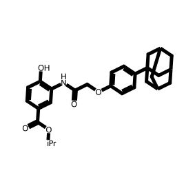 CC(C)OC(=O)c1ccc(O)c(NC(=O)COc2ccc(C34CC5CC(CC(C5)C3)C4)cc2)c1